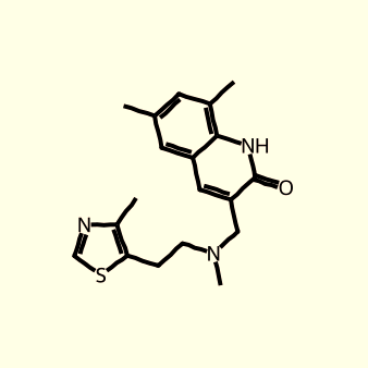 Cc1cc(C)c2[nH]c(=O)c(CN(C)CCc3scnc3C)cc2c1